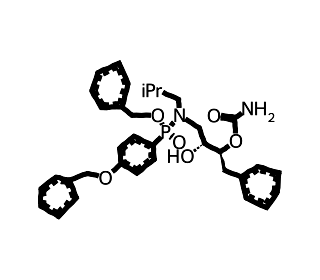 CC(C)CN(C[C@@H](O)[C@H](Cc1ccccc1)OC(N)=O)P(=O)(OCc1ccccc1)c1ccc(OCc2ccccc2)cc1